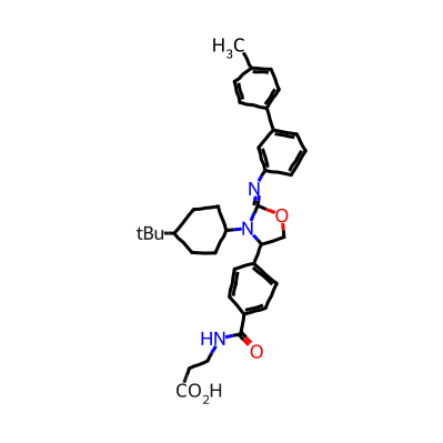 Cc1ccc(-c2cccc(N=C3OCC(c4ccc(C(=O)NCCC(=O)O)cc4)N3C3CCC(C(C)(C)C)CC3)c2)cc1